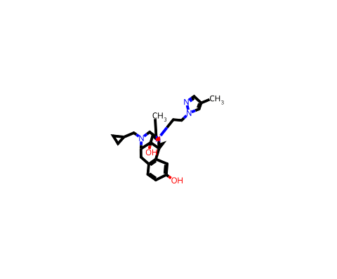 Cc1cnn(CCN2CCC34CCN(CC5CC5)C(Cc5ccc(O)cc53)C4(O)CC2C)c1